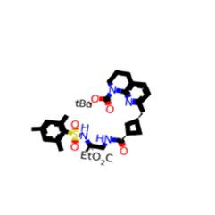 CCOC(=O)[C@H](CNC(=O)[C@H]1C[C@@H](Cc2ccc3c(n2)N(C(=O)OC(C)(C)C)CCC3)C1)NS(=O)(=O)c1c(C)cc(C)cc1C